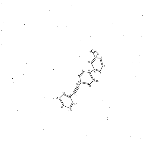 Cc1cccc(-c2ccc(C#Cc3ccccc3)cn2)c1